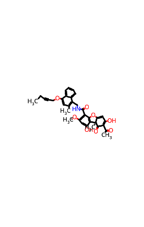 CCC#CCOc1cc(C)c(CNC(=O)c2c(OC)cc(O)c3c2OC2=CC(O)=C(C(C)=O)C(=O)[C@]23C)c2ccccc12